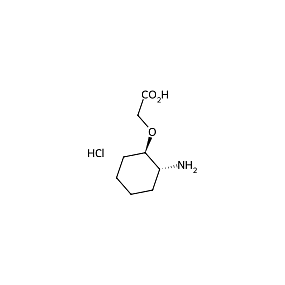 Cl.N[C@@H]1CCCC[C@H]1OCC(=O)O